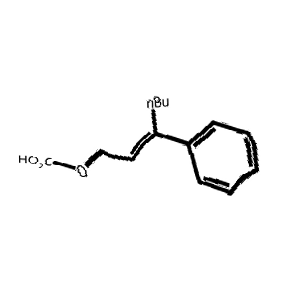 CCCCC(=CCOC(=O)O)c1ccccc1